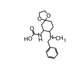 CN(Cc1ccccc1)C1CCC2(CC1NC(=O)O)OCCO2